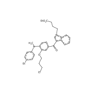 CCOC(=O)CCCn1cc(C(=O)c2ccc(N(C)c3ccc(CC)cc3)c(OCCCCl)c2)c2ccccc21